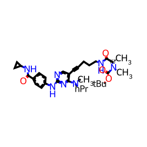 CCCN(C)c1nc(Nc2ccc(C(=O)NC3CC3)cc2)ncc1C#CCCCNC(=O)[C@H](C)N(C)C(=O)OC(C)(C)C